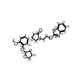 COc1ccc([C@@H]2CC(=O)N(CCOc3nc4ccccc4s3)C2)cc1OC1CCCO1